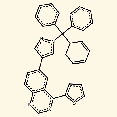 C1=CCC(C(c2ccccc2)(c2ccccc2)n2cc(-c3ccc4ncnc(-c5cccs5)c4c3)cn2)C=C1